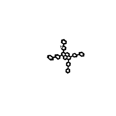 c1ccc(-c2ccc(-c3cc(-c4ccc(-c5ccccc5)cc4)c4ccc5c(-c6ccc(-c7ccccc7)nc6)cc(-c6ccc(-c7ccccc7)cc6)c6ccc3c4c65)cc2)cc1